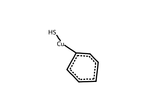 [SH][Cu][c]1ccccc1